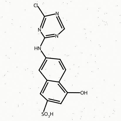 O=S(=O)(O)c1cc(O)c2ccc(Nc3ncnc(Cl)n3)cc2c1